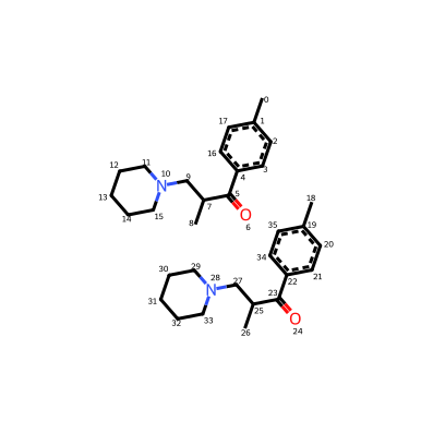 Cc1ccc(C(=O)C(C)CN2CCCCC2)cc1.Cc1ccc(C(=O)C(C)CN2CCCCC2)cc1